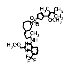 C=C(C)/C(C)=C(\OC)C1=CC=C(S(=O)(=O)N2CCC/C(=C/C[C@H](C)Nc3nc(COC)nc4c(C(F)(F)F)cccc34)CC2)C1